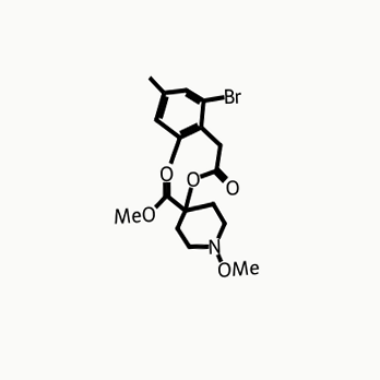 COC(=O)C1(OC(=O)Cc2c(C)cc(C)cc2Br)CCN(OC)CC1